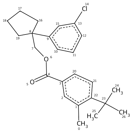 Cc1cc(C(=O)OCC2(c3cccc(Cl)c3)CCCC2)ccc1C(C)(C)C